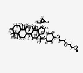 COCCOCCOC1CCN(C(=O)[C@]23CC[C@@H](C4(C)CC4)[C@@H]2[C@H]2CC[C@@H]4[C@]5(C)CC[CH]C(C)(C)[C@H]5CC[C@@]4(C)[C@]2(C)CC3)CC1